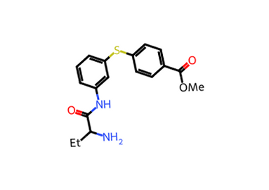 CCC(N)C(=O)Nc1cccc(Sc2ccc(C(=O)OC)cc2)c1